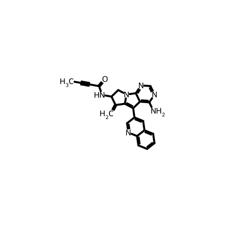 C=C1c2c(-c3cnc4ccccc4c3)c3c(N)ncnc3n2CC1NC(=O)C#CC